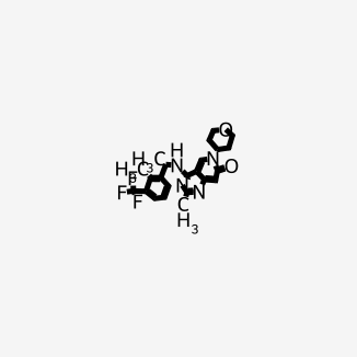 Cc1nc(NC(C)c2cccc(C(F)(F)F)c2C)c2cn(C3CCOCC3)c(=O)cc2n1